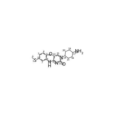 CSc1ccc2c(c1)Nc1nc(=O)n(C3CCC(N)CC3)cc1O2